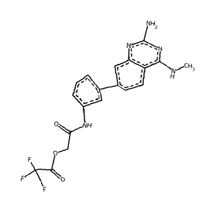 CNc1nc(N)nc2cc(-c3cccc(NC(=O)COC(=O)C(F)(F)F)c3)ccc12